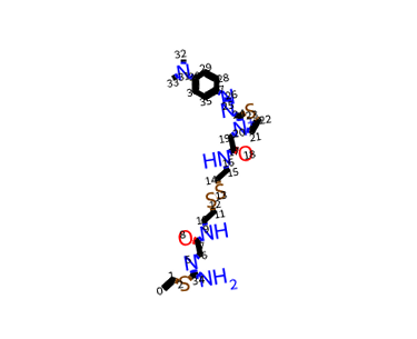 C=CS/C(N)=N/CC(=O)NCCSSCCNC(=O)C[n+]1ccsc1/N=N/c1ccc(N(C)C)cc1